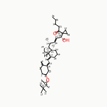 C=C1CC[C@H](O[Si](C)(C)C(C)(C)C)C/C1=C/C=C1\CCC[C@]2(C)[C@@H]([C@H](C)/C=C/[C@@H](O)C3(C(=O)CCCC)CC3)CC[C@@H]12